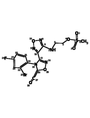 CS(=O)(=O)OCCNc1nonc1C1=NOC(=C=O)N1c1ccc(F)cc1Br